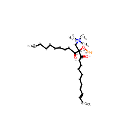 CCCCCCCCC=CCCCCCCCC(=O)C(C[N+](C)(C)C)(O[PH-])C(=O)CCCCCCCCCCCCCCCCC